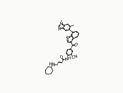 Cc1cc2c(cc1-c1cccc3c(C(=O)c4ccc(NC(=O)/C=C/CNC5CCCCC5)c(C#N)c4)csc13)ncn2C